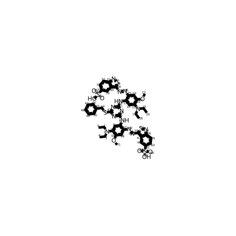 CCN(CC)c1cc(Nc2nc(Nc3cc(N(CC)CC)c(OC)cc3/N=N/c3snc4ccc(S(=O)(=O)O)cc34)nc(SCc3ccccc3)n2)c(/N=N/c2snc3ccc(S(=O)(=O)O)cc23)cc1OC